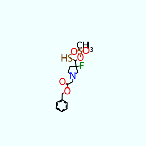 CS(=O)(=O)OC(S)C1(F)CCN(CC(=O)OCc2ccccc2)C1